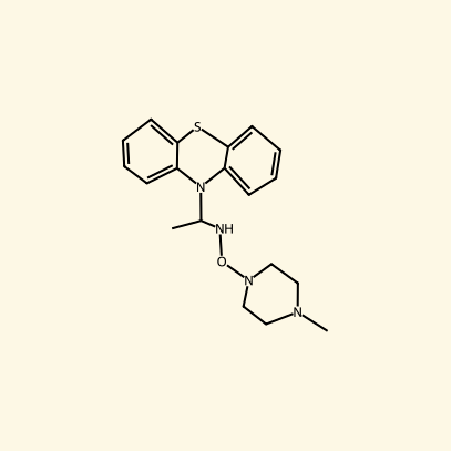 CC(NON1CCN(C)CC1)N1c2ccccc2Sc2ccccc21